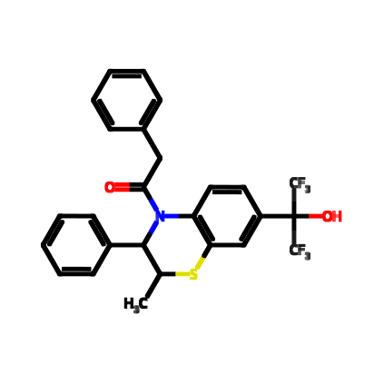 CC1Sc2cc(C(O)(C(F)(F)F)C(F)(F)F)ccc2N(C(=O)Cc2ccccc2)C1c1ccccc1